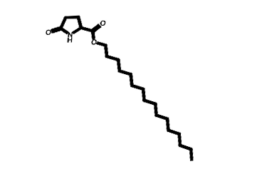 CCCCCCCCCCCCCCCCOC(=O)C1CCC(=O)N1